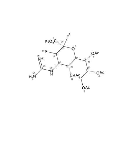 CCOC(=O)[C@]1(F)OC([C@H](OC(C)=O)[C@@H](COC(C)=O)OC(C)=O)[C@H](NC(C)=O)C(NC(=N)N)C1F